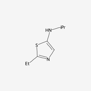 CCc1ncc(NC(C)C)s1